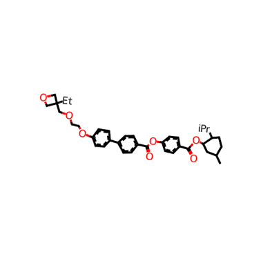 CCC1(COCCOc2ccc(-c3ccc(C(=O)Oc4ccc(C(=O)OC5CC(C)CCC5C(C)C)cc4)cc3)cc2)COC1